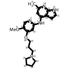 COc1cnc(Nc2cc(C)nc3[nH]ccc23)cc1OCCCN1CCCC1